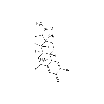 CC(=O)[C@H]1CC[C@H]2[C@@H]3CC(F)C4=CC(=O)C(Br)=C[C@]4(C)[C@H]3CC[C@]12C